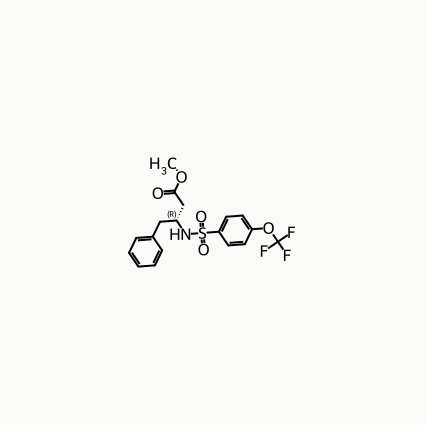 COC(=O)C[C@@H](Cc1ccccc1)NS(=O)(=O)c1ccc(OC(F)(F)F)cc1